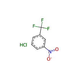 Cl.O=[N+]([O-])c1cccc(C(F)(F)F)c1